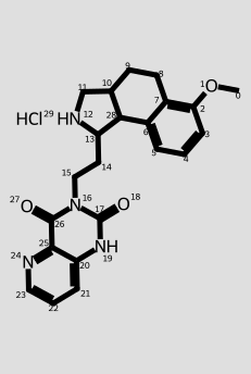 COc1cccc2c1CCC1CNC(CCn3c(=O)[nH]c4cccnc4c3=O)C21.Cl